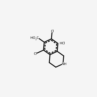 Cl.O=C(O)c1c(Cl)cc2c(c1Cl)CCNC2